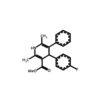 COC(=O)C1=C(C)NC(C)=C(c2ccccc2)C1c1ccc(F)cc1